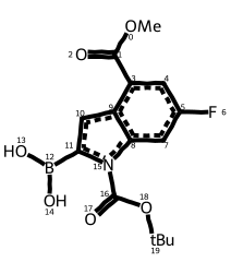 COC(=O)c1cc(F)cc2c1cc(B(O)O)n2C(=O)OC(C)(C)C